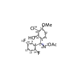 COc1ccc(/C(=N\OC(C)=O)c2cc(F)ccc2F)c(O)c1Cl